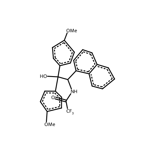 COc1ccc(C(O)(c2ccc(OC)cc2)C(NC(=O)C(F)(F)F)c2cccc3ccccc23)cc1